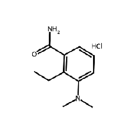 CCc1c(C(N)=O)cccc1N(C)C.Cl